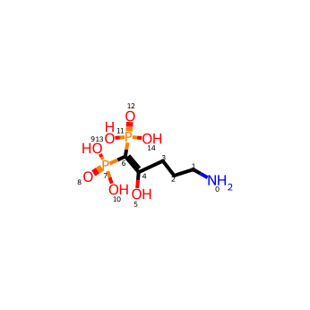 NCCCC(O)=C(P(=O)(O)O)P(=O)(O)O